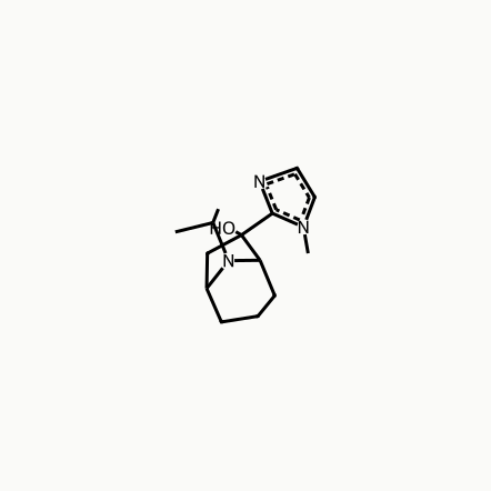 CC(C)N1C2CCCC1C(O)(c1nccn1C)C2